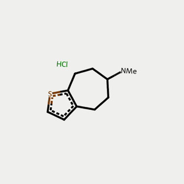 CNC1CCc2ccsc2CC1.Cl